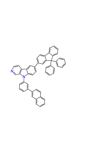 c1ccc(C2(c3ccccc3)c3ccccc3-c3ccc(-c4ccc5c(c4)c4ccncc4n5-c4cccc(-c5ccc6ccccc6c5)c4)cc32)cc1